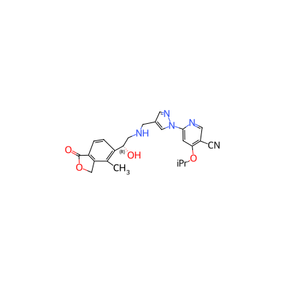 Cc1c([C@@H](O)CNCc2cnn(-c3cc(OC(C)C)c(C#N)cn3)c2)ccc2c1COC2=O